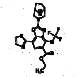 CCOC(=O)c1cc(-c2nccs2)c2oc(N3CC4CCC(C3)N4)nc2c1OC(F)(F)F